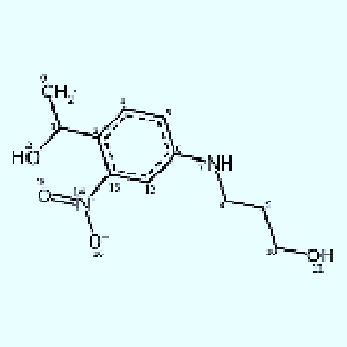 [CH2]C(O)c1ccc(NCCCO)cc1[N+](=O)[O-]